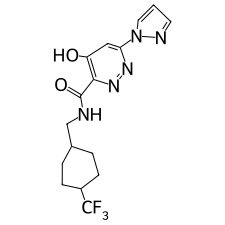 O=C(NCC1CCC(C(F)(F)F)CC1)c1nnc(-n2cccn2)cc1O